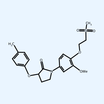 COc1cc(N2CCC(Oc3ccc(C)cc3)C2=O)ccc1OCCS(C)(=O)=O